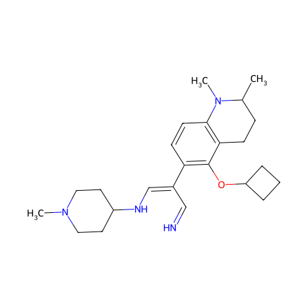 CC1CCc2c(ccc(/C(C=N)=C/NC3CCN(C)CC3)c2OC2CCC2)N1C